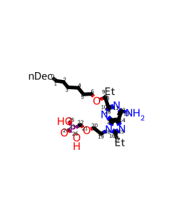 CCCCCCCCCCCCCCCCOC(CC)c1nc(N)c2nc(CC)n(CCOCP(=O)(O)O)c2n1